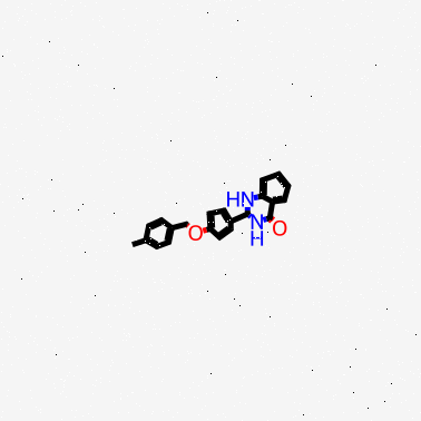 Cc1ccc(COc2ccc(C3NC(=O)c4ccccc4N3)cc2)cc1